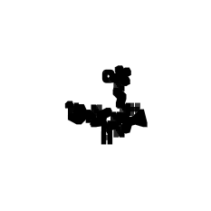 Cc1nn(C2CCN(C)C2)cc1Nc1ncc(C2CC2)c(NCCCN2CC(C)(C)C2=O)n1